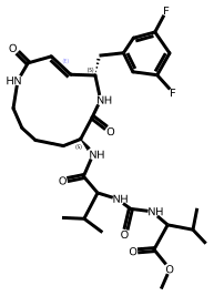 COC(=O)C(NC(=O)NC(C(=O)N[C@H]1CCCCNC(=O)/C=C/[C@H](Cc2cc(F)cc(F)c2)NC1=O)C(C)C)C(C)C